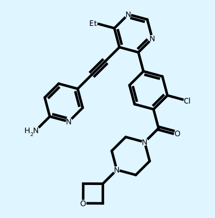 CCc1ncnc(-c2ccc(C(=O)N3CCN(C4COC4)CC3)c(Cl)c2)c1C#Cc1ccc(N)nc1